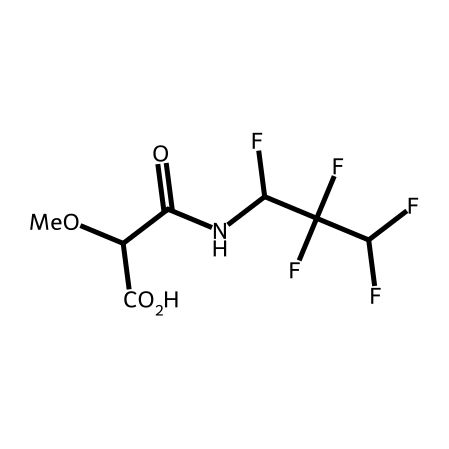 COC(C(=O)O)C(=O)NC(F)C(F)(F)C(F)F